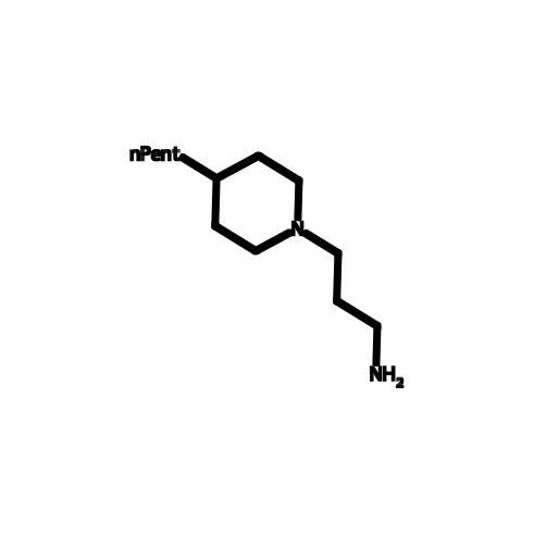 CCCCCC1CCN(CCCN)CC1